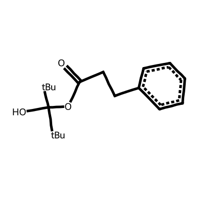 CC(C)(C)C(O)(OC(=O)CCc1ccccc1)C(C)(C)C